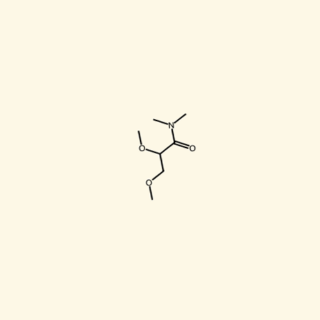 COCC(OC)C(=O)N(C)C